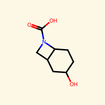 O=C(O)N1CC2CC(O)CCC21